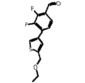 CCOCc1cc(-c2ccc(C=O)c(F)c2F)cs1